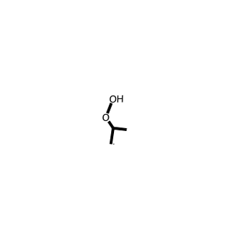 [CH2]C(C)OO